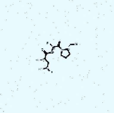 CCCC[C@H](CN(O)C=O)C(=O)N[C@H](C(=O)N1CCC[C@H]1CO)C(C)C